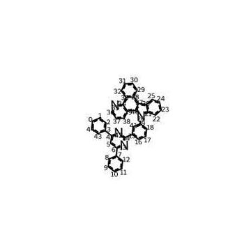 c1ccc(-c2cc(-c3ccccc3)nc(-c3cccc(-n4c5ccccc5c5c6ccccc6c6ncccc6c54)c3)n2)cc1